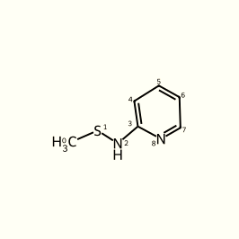 CSNc1ccccn1